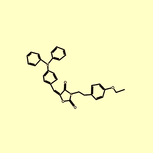 CCOc1ccc(CCN2C(=O)O/C(=C/c3ccc(N(c4ccccc4)c4ccccc4)cc3)C2=O)cc1